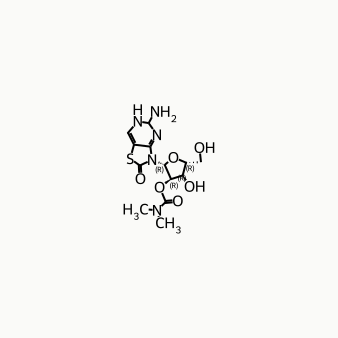 CN(C)C(=O)O[C@@H]1[C@H](O)[C@@H](CO)O[C@H]1n1c(=O)sc2c1=NC(N)NC=2